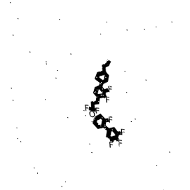 CCCc1ccc(-c2ccc(CCC(F)(F)Oc3ccc(-c4cc(F)c(F)c(F)c4)c(F)c3)c(F)c2F)cc1